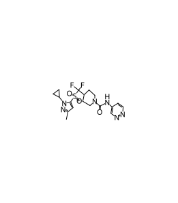 Cc1cc(S(=O)(=O)C(F)(F)C2CCN(C(=O)Nc3ccnnc3)CC2)n(C2CC2)n1